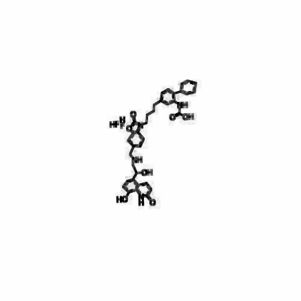 F.F.O=C(O)Nc1cc(CCCCn2c(=O)oc3cc(CNCC(O)c4ccc(O)c5[nH]c(=O)ccc45)ccc32)ccc1-c1ccccc1